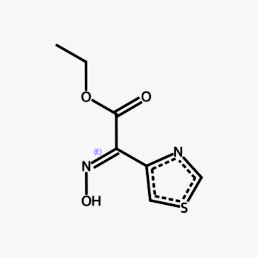 CCOC(=O)/C(=N/O)c1cscn1